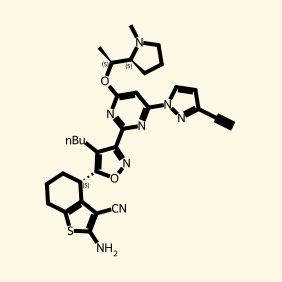 C#Cc1ccn(-c2cc(O[C@@H](C)[C@@H]3CCCN3C)nc(-c3noc([C@H]4CCCc5sc(N)c(C#N)c54)c3CCCC)n2)n1